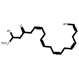 CCC/C=C\C/C=C\C/C=C\C/C=C\C/C=C\CC(=O)CC(C(=O)OCC)C(C)C